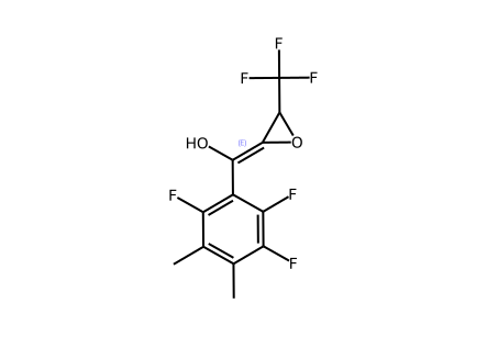 Cc1c(C)c(F)c(/C(O)=C2\OC2C(F)(F)F)c(F)c1F